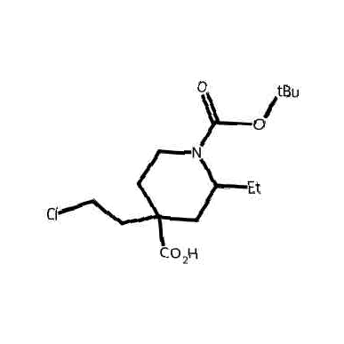 CCC1CC(CCCl)(C(=O)O)CCN1C(=O)OC(C)(C)C